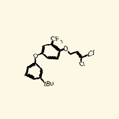 CC(C)(C)c1cccc(Oc2ccc(OCC=C(Cl)Cl)c(C(F)(F)F)c2)c1